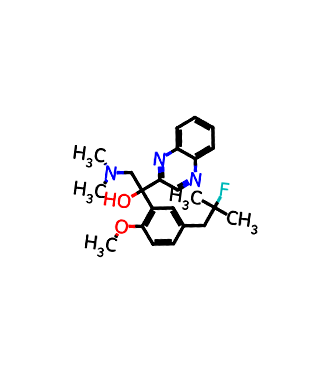 COc1ccc(CC(C)(C)F)cc1C(O)(CN(C)C)c1cnc2ccccc2n1